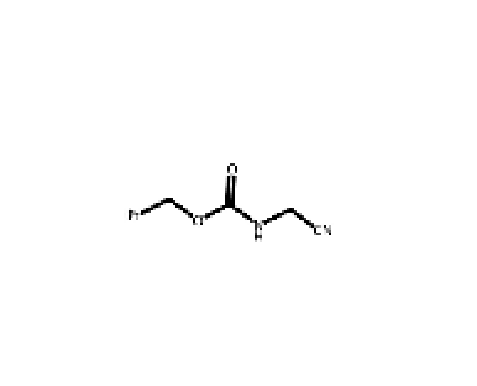 CC(C)COC(=O)NCC#N